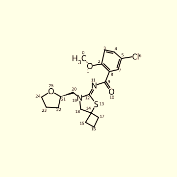 COc1ccc(Cl)cc1C(=O)N=C1SC2(CCC2)CN1C[C@H]1CCCO1